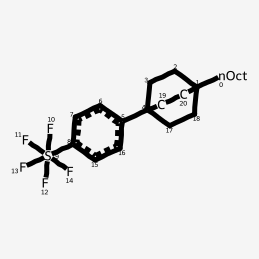 CCCCCCCCC12CCC(c3ccc(S(F)(F)(F)(F)F)cc3)(CC1)CC2